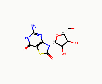 Nc1nc2c(sc(=O)n2[C@@H]2O[C@H](CO)[C@@H](O)C2O)c(=O)[nH]1